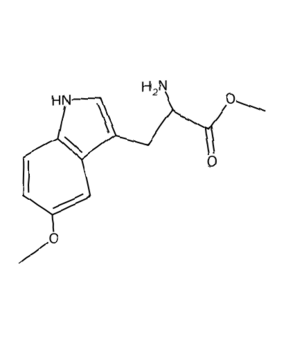 COC(=O)C(N)Cc1c[nH]c2ccc(OC)cc12